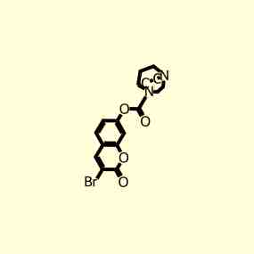 O=C(Oc1ccc2cc(Br)c(=O)oc2c1)N1CCN2CCC1CC2